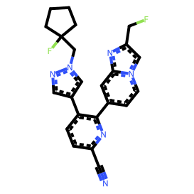 N#Cc1ccc(-c2cnn(CC3(F)CCCC3)c2)c(-c2ccn3cc(CF)nc3c2)n1